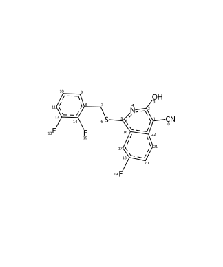 N#Cc1c(O)nc(SCc2cccc(F)c2F)c2cc(F)ccc12